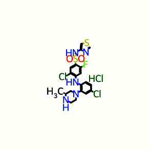 C[C@H]1CN(c2cc(Cl)ccc2Nc2cc(F)c(S(=O)(=O)Nc3cscn3)cc2Cl)CCN1.Cl